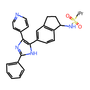 CC(C)S(=O)(=O)NC1CCc2cc(-c3[nH]c(-c4ccccc4)nc3-c3ccncc3)ccc21